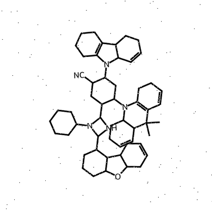 CC1(C)C2=C(CCC=C2)N(C2CC(N3C4=C(CCCC4)C4CCC=CC43)C(C#N)CC2C2NC(C3CCCC4OC5CC=CCC5C43)N2C2CCCCC2)C2CCC=CC21